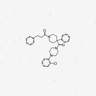 O=C(CCc1ccccc1)N1CCC(C(=O)N2CCN(c3ccccc3Cl)CC2)(c2ccccc2)CC1